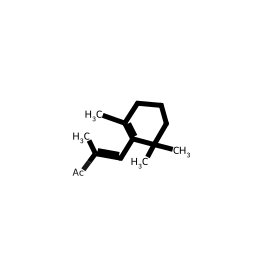 CC(=O)C(C)=CC1=C(C)CCCC1(C)C